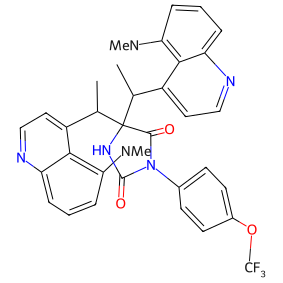 CNc1cccc2nccc(C(C)C3(C(C)c4ccnc5cccc(NC)c45)NC(=O)N(c4ccc(OC(F)(F)F)cc4)C3=O)c12